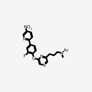 CC(=O)N(C)CCCc1cncc(Oc2ccc(-c3ccc([N+](=O)[O-])cn3)cc2F)n1